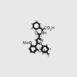 COc1cccc(OC)c1-c1cc(C(=O)N[C@H](C(=O)O)C2CCCCC2)nn1-c1ccc(F)cc1